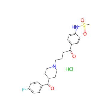 CS(=O)(=O)Nc1ccc(C(=O)CCCN2CCC(C(=O)c3ccc(F)cc3)CC2)cc1.Cl